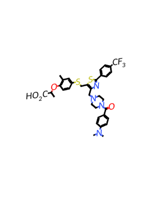 Cc1cc(SCc2sc(-c3ccc(C(F)(F)F)cc3)nc2CN2CCN(C(=O)c3ccc(N(C)C)cc3)CC2)ccc1OC(C)C(=O)O